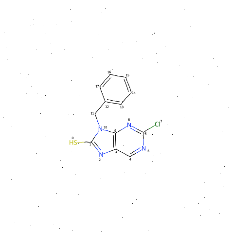 Sc1nc2cnc(Cl)nc2n1Cc1ccccc1